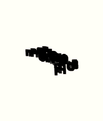 CCCN(CCC)C(=O)c1cc(C)cc(C(=O)N[C@@H](Cc2cc(F)cc(F)c2)[C@H](O)CCNC(=O)CCC(=O)c2cccs2)c1